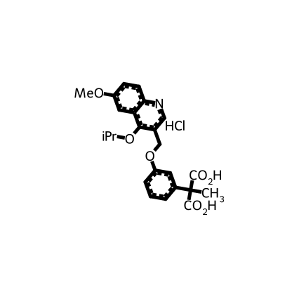 COc1ccc2ncc(COc3cccc(C(C)(C(=O)O)C(=O)O)c3)c(OC(C)C)c2c1.Cl